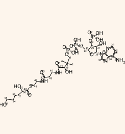 CC(C)(COP(=O)(O)OP(=O)(O)OC[C@H]1O[C@@H](n2cnc3c(N)ncnc32)[C@H](O)[C@@H]1OP(=O)(O)O)C(O)C(=O)NCCC(=O)NCCSC(=O)C(O)CCCCO